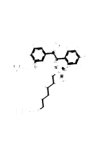 CCCCCCCCCCCCCCCCS(=O)(=O)OC(C(=O)c1cccc(OC)c1)c1ccccc1